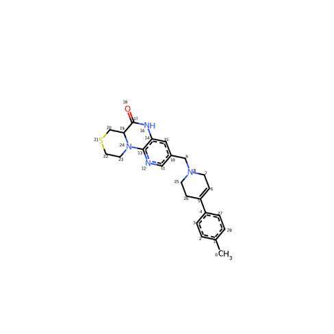 Cc1ccc(C2=CCN(Cc3cnc4c(c3)NC(=O)C3CSCCN43)CC2)cc1